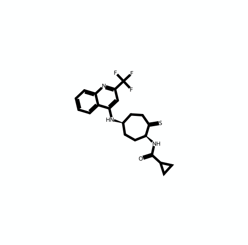 O=C(N[C@H]1CC[C@@H](Nc2cc(C(F)(F)F)nc3ccccc23)CCC1=S)C1CC1